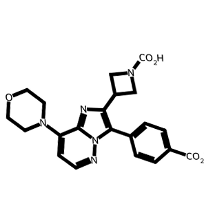 CCOC(=O)c1ccc(-c2c(C3CN(C(=O)O)C3)nc3c(N4CCOCC4)ccnn23)cc1